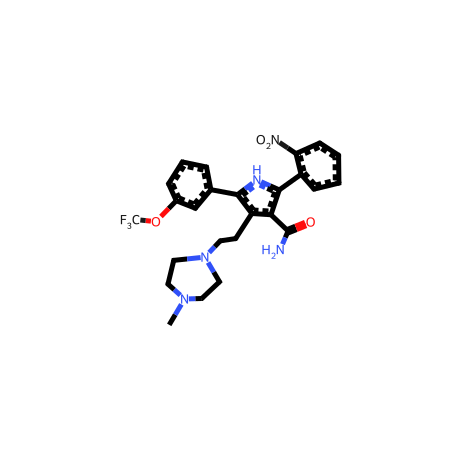 CN1CCN(CCc2c(-c3cccc(OC(F)(F)F)c3)[nH]c(-c3ccccc3[N+](=O)[O-])c2C(N)=O)CC1